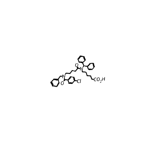 O=C(O)CCCCCN(C(=O)CCCCN(Cc1ccccc1)C(=O)c1ccc(Cl)cc1)C(c1ccccc1)c1ccccc1